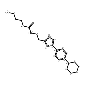 CCCCOC(=O)NCCc1nc(-c2ccc(C3CCCCC3)cc2)c[nH]1